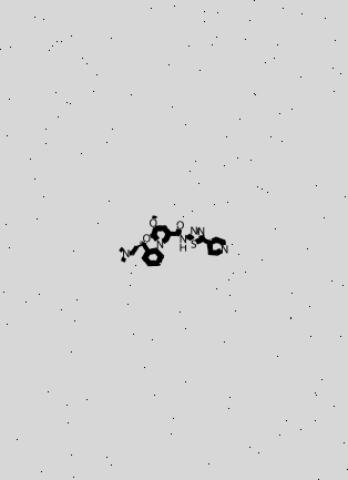 COc1cc(C(=O)Nc2nnc(-c3ccncc3)s2)cnc1O[C@H](CCN(C)C)c1ccccc1